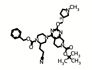 CN1CC[C@@H](COc2nc3c(c(N4CCN(C(=O)OCc5ccccc5)C(CCC#N)C4)n2)CCN(C(=O)OC(C)(C)C)C3)C1